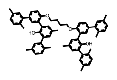 Cc1ccc(C)c(-c2ccc(OCCCCOc3ccc(-c4cc(C)ccc4C)cc3-c3cc(C)cc(-c4cc(C)ccc4C)c3O)c(-c3cc(C)cc(-c4cc(C)ccc4C)c3O)c2)c1